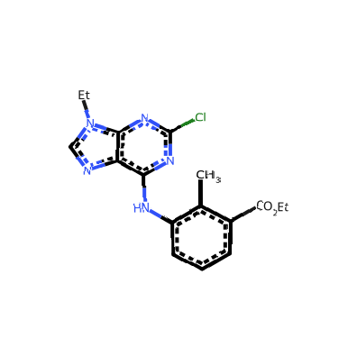 CCOC(=O)c1cccc(Nc2nc(Cl)nc3c2ncn3CC)c1C